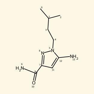 CC(C)CCn1nc(C(N)=O)cc1N